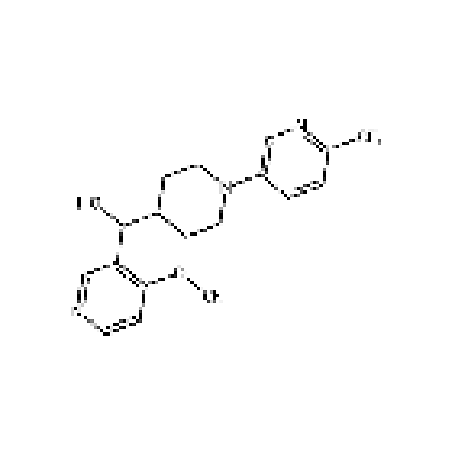 OC(c1cnccc1OC(F)(F)F)C1CCN(c2ccc(C(F)(F)F)nc2)CC1